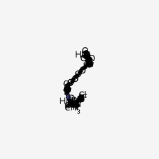 COc1cc2ncnc(Nc3ccc(F)c(Cl)c3)c2cc1NC(=O)/C=C/CN1CCN(C(=O)COCCOCCOCCOCCSc2cccc3c2CN(C2CCC(=O)NC2=O)C3=O)CC1